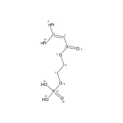 CCCC(=CC(=O)OCCOP(=O)(O)O)CCC